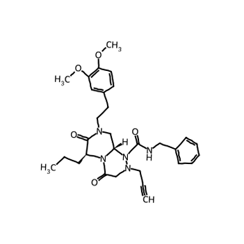 C#CCN1CC(=O)N2[C@@H](CCC)C(=O)N(CCc3ccc(OC)c(OC)c3)C[C@@H]2N1C(=O)NCc1ccccc1